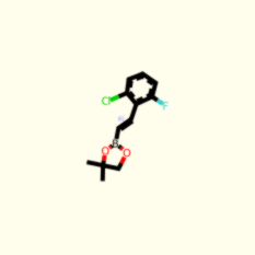 CC1(C)COB(/C=C/c2c(F)cccc2Cl)O1